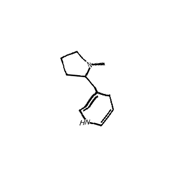 CN1CCCC1C1=CNC=CC1